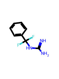 N=C(N)NC(F)(F)c1ccccc1